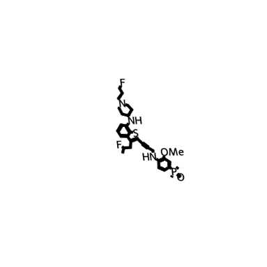 COc1cc(P(C)(C)=O)ccc1NCC#Cc1sc2c(NC3CCN(CCCF)CC3)cccc2c1CC(C)F